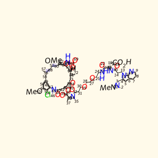 CNN(C)Cc1cc2cccnc2n1CCC(=O)N[C@@H](CC(=O)O)C(=O)NCCOCCOCCC(=O)N(C)[C@@H](C)C(=O)O[C@H]1CC(=O)N(C)c2cc(cc(OC)c2Cl)C/C(C)=C/C=C/[C@@H](OC)[C@@]2(O)C[C@H](OC(=O)N2)[C@@H](C)C2O[C@]21C